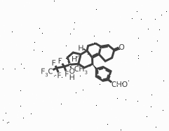 C[C@]12C[C@H](c3ccc(C=O)cc3)C3=C4CCC(=O)C=C4CC[C@H]3[C@@H]1CC[C@@]2(O)C(F)(F)C(F)(F)C(F)(F)F